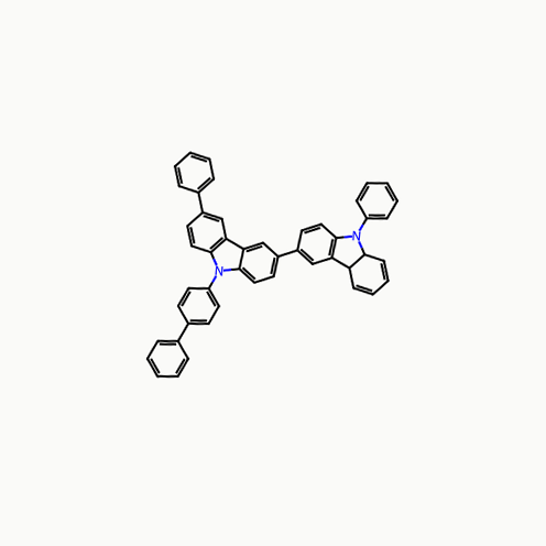 C1=CC2c3cc(-c4ccc5c(c4)c4cc(-c6ccccc6)ccc4n5-c4ccc(-c5ccccc5)cc4)ccc3N(c3ccccc3)C2C=C1